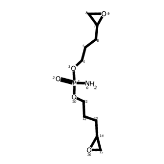 NP(=O)(OCCCC1CO1)OCCCC1CO1